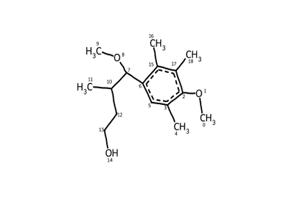 COc1c(C)cc(C(OC)C(C)CCO)c(C)c1C